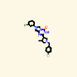 CC1CN(Cc2ccc(Cl)cc2)CC1C1=NC2=CN(c3cccc(F)c3)CN2C(=O)N1